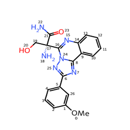 COc1cccc(-c2nc3c4ccccc4nc([C@@](N)(CO)C(N)=O)n3n2)c1